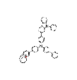 c1ccc(-c2ccc(N(c3ccc(-c4ccc5c(c4)C4CC6CC(CC5C6)C4)cc3)c3ccc(-c4ccc5c6ccccc6n(-c6ccccc6)c5c4)cc3)cc2)cc1